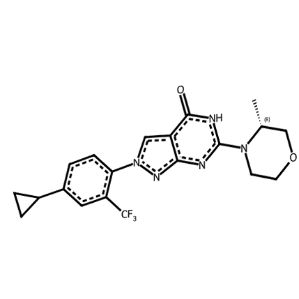 C[C@@H]1COCCN1c1nc2nn(-c3ccc(C4CC4)cc3C(F)(F)F)cc2c(=O)[nH]1